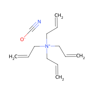 C=CC[N+](CC=C)(CC=C)CC=C.N#C[O-]